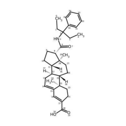 CCC(CC)(NC(=O)[C@H]1CC[C@H]2[C@@H]3CC=C4C=C(C(=O)O)CC[C@]4(C)[C@H]3CC[C@]12C)c1ccccc1